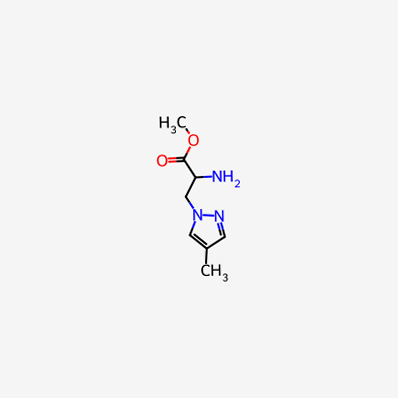 COC(=O)C(N)Cn1cc(C)cn1